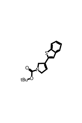 CC(C)(C)OC(=O)N1CC=C(c2cc3ccccc3s2)C1